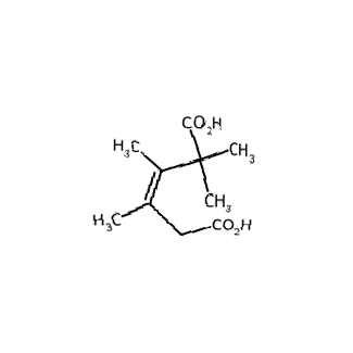 CC(CC(=O)O)=C(C)C(C)(C)C(=O)O